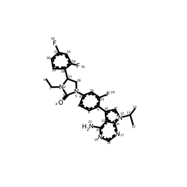 CCN1C(=O)N(c2ccc(-c3cn(C(C)C)c4ncnc(N)c34)c(F)c2)CC1c1ccc(F)cc1F